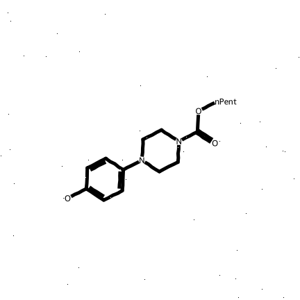 CCCCCOC(=O)N1CCN(c2ccc([O])cc2)CC1